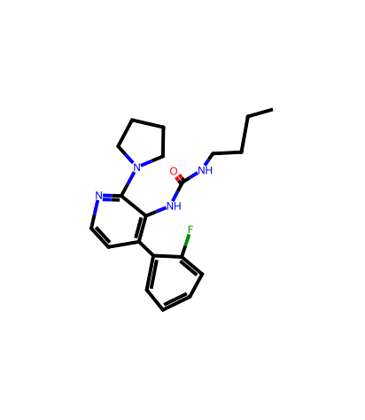 CCCCNC(=O)Nc1c(-c2ccccc2F)ccnc1N1CCCC1